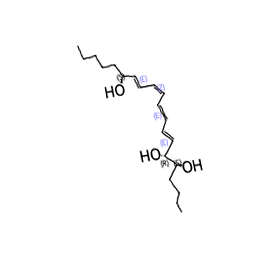 CCCCC[C@H](O)/C=C/C=C\C=C\C=C\[C@@H](O)[C@@H](O)CCCC